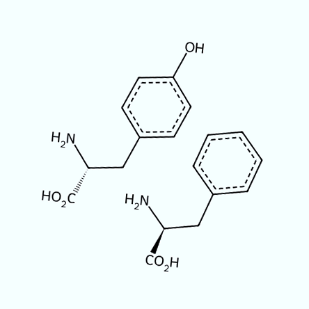 N[C@@H](Cc1ccccc1)C(=O)O.N[C@H](Cc1ccc(O)cc1)C(=O)O